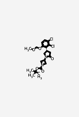 COCOc1ccc(Cl)c(Cl)c1[C@@H]1CC(=O)N(C2CN(C(=O)OC(C)(C)C)C2)C1